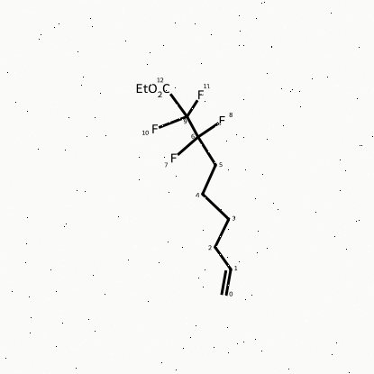 C=CCCCCC(F)(F)C(F)(F)C(=O)OCC